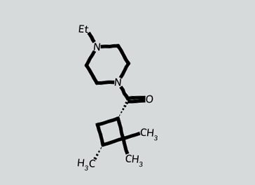 CCN1CCN(C(=O)[C@H]2C[C@@H](C)C2(C)C)CC1